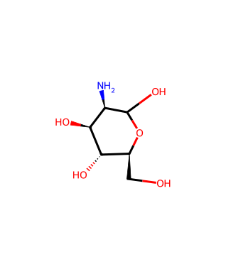 N[C@H]1C(O)O[C@@H](CO)[C@H](O)[C@H]1O